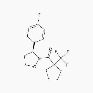 O=C(N1OCC[C@H]1C1C=CC(F)=CC1)C1(C(F)(F)F)CCCC1